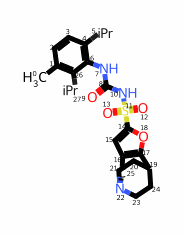 Cc1ccc(C(C)C)c(NC(=O)NS(=O)(=O)c2cc3c(o2)C2CCN(CC2)C3)c1C(C)C